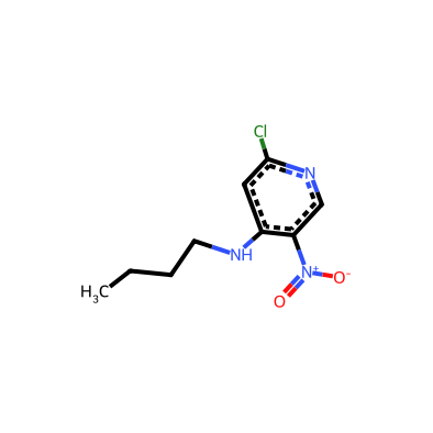 CCCCNc1cc(Cl)ncc1[N+](=O)[O-]